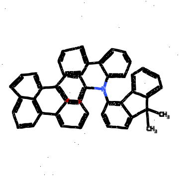 CC1(C)c2ccccc2-c2c(N(c3ccc(-c4cccc5cccc(-c6ccccc6)c45)cc3)c3ccccc3-c3ccccc3)cccc21